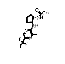 Cc1nc(C(F)(F)F)cnc1N[C@H]1CCC[C@@H]1NC(=O)O